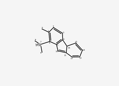 Cc1ccc2c(c1[SiH](C)C)[C]=C1C=CC=CC12